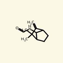 C=C1C2CCC(C2NC=O)C1(C)C